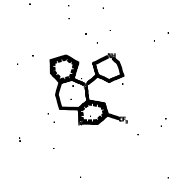 FC(F)(F)c1cnc2c(c1)N(C1CCCNC1)c1ccccc1CC2